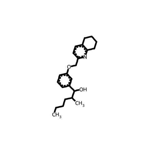 CCCCC(C)C(O)c1cccc(OCc2ccc3c(n2)CCCC3)c1